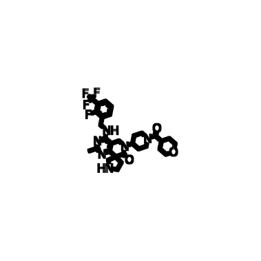 Cc1nc(NCc2cccc(C(F)(F)F)c2F)c2c(n1)C1(CCNC1)C(=O)N(C1CCN(C(=O)C3CCOCC3)CC1)C2